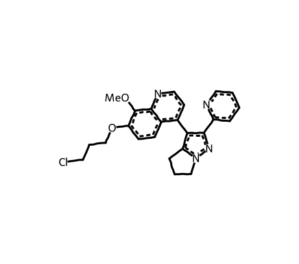 COc1c(OCCCCl)ccc2c(-c3c(-c4ccccn4)nn4c3CCC4)ccnc12